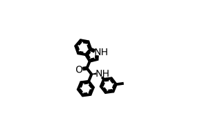 Cc1cccc(N[C@H](C(=O)c2c[nH]c3ccccc23)c2ccccc2)c1